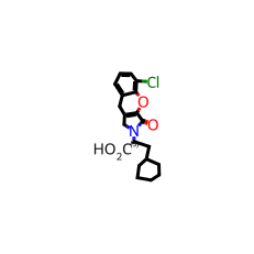 O=C(O)[C@H](CC1CCCCC1)N1CC2=C(Oc3c(Cl)cccc3C2)C1=O